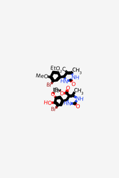 CCOC(=O)C1=C(C)NC(=O)NC1c1ccc(OC)c(Br)c1.CCOc1cc(C2NC(=O)NC(C)=C2C(=O)OC(C)(C)C)cc(Br)c1O